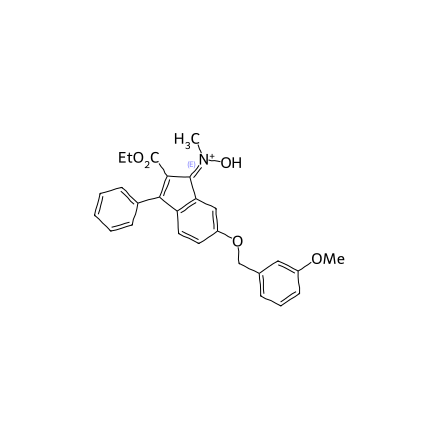 CCOC(=O)C1=C(c2ccccc2)c2ccc(OCc3cccc(OC)c3)cc2/C1=[N+](/C)O